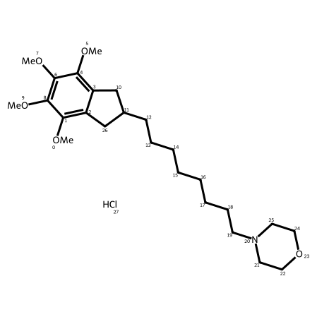 COc1c2c(c(OC)c(OC)c1OC)CC(CCCCCCCCN1CCOCC1)C2.Cl